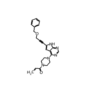 C=CC(=O)N1CCN(c2ncnc3[nH]c(C#CCOCc4ccccc4)cc23)CC1